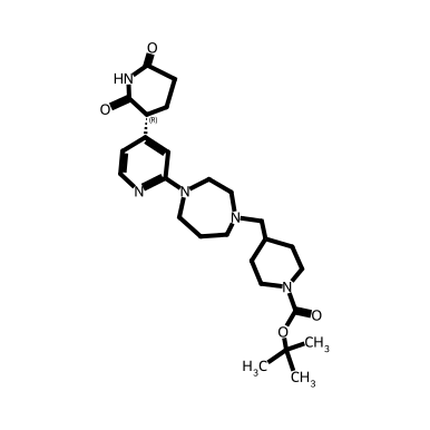 CC(C)(C)OC(=O)N1CCC(CN2CCCN(c3cc([C@H]4CCC(=O)NC4=O)ccn3)CC2)CC1